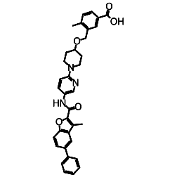 Cc1ccc(C(=O)O)cc1COC1CCN(c2ccc(NC(=O)c3oc4ccc(-c5ccccc5)cc4c3C)cn2)CC1